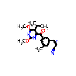 COc1nc(OC)c(C(C)C)c(C(=O)c2cc(C)cc(/C=C\C#N)c2)n1